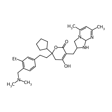 CCc1cc(CCC2(C3CCCC3)CC(O)=C(CC3CN4C(C)=CC(C)=NC4N3)C(=O)O2)ccc1CN(C)C